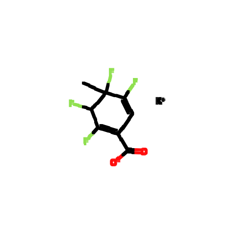 CC1(F)C(F)=CC(C(=O)[O-])=C(F)C1F.[K+]